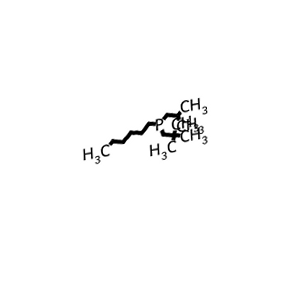 CCCCCCP(CC(C)C)CC(C)(C)C